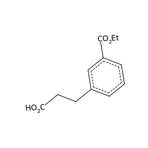 CCOC(=O)c1cccc(CCC(=O)O)c1